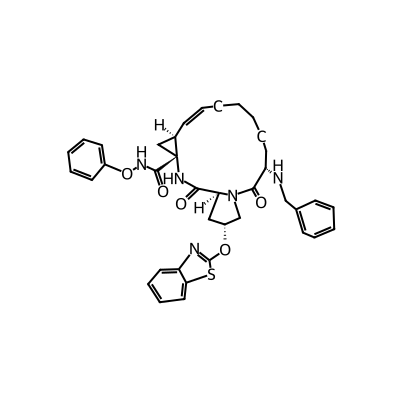 O=C1N[C@]2(C(=O)NOc3ccccc3)C[C@H]2/C=C\CCCCC[C@H](NCc2ccccc2)C(=O)N2C[C@H](Oc3nc4ccccc4s3)C[C@@H]12